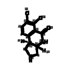 O=C1N[C@@H]2CNC[C@H]2c2ccc(Cl)c(Cl)c21